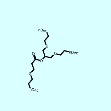 CCCCCCCCCCCCSCCC(=O)OC(CSCCCCCCCCCCCC)CSCCCCCCCCCCCC